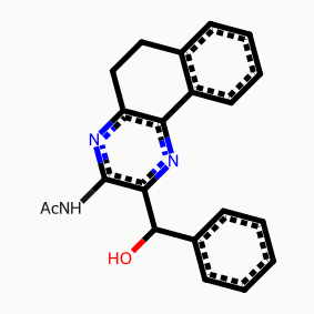 CC(=O)Nc1nc2c(nc1C(O)c1ccccc1)-c1ccccc1CC2